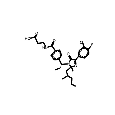 CCCC(C)CC1(C)N=C(c2ccc(F)c(Cl)c2)C(=O)N1[C@H](CC)c1ccc(C(=O)NCCC(=O)O)cc1